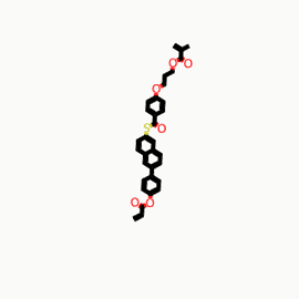 C=CC(=O)Oc1ccc(-c2ccc3cc(SC(=O)c4ccc(OCCCOC(=O)C(=C)C)cc4)ccc3c2)cc1